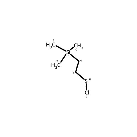 C[Si](C)(C)CCSCl